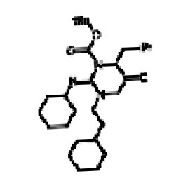 CC(C)C[C@H]1C(=O)CN(CCC2=CCCCC2)C(=NC2CCCCC2)N1C(=O)OC(C)(C)C